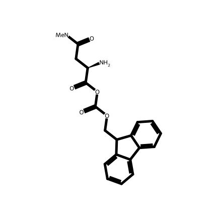 CNC(=O)C[C@@H](N)C(=O)OC(=O)OCC1c2ccccc2-c2ccccc21